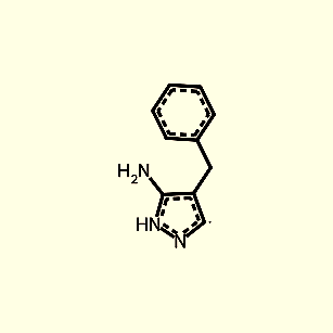 Nc1[nH]n[c]c1Cc1ccccc1